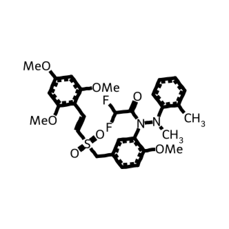 COc1cc(OC)c(C=CS(=O)(=O)Cc2ccc(OC)c(N(C(=O)C(F)F)N(C)c3ccccc3C)c2)c(OC)c1